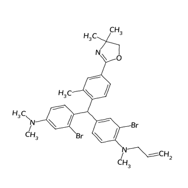 C=CCN(C)c1ccc(C(c2ccc(C3=NC(C)(C)CO3)cc2C)c2ccc(N(C)C)cc2Br)cc1Br